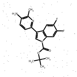 Cc1nc(-c2cn(C(=O)OC(C)(C)C)c3cc(F)c(F)cc23)ccc1N